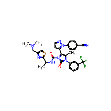 Cc1c(-c2ccnn2-c2ccc(C#N)cc2)n(C(=O)NC(C)c2nc(CN(C)C)cs2)c(=O)n1-c1cccc(C(F)(F)F)c1